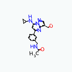 CC(=O)NCc1cccc(-c2cc(NC3CC3)n3ncc(C=O)c3n2)c1